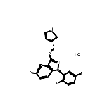 Cl.Fc1ccc(F)c(-n2nc(OC[C@@H]3CCNC3)c3cc(F)ccc32)c1